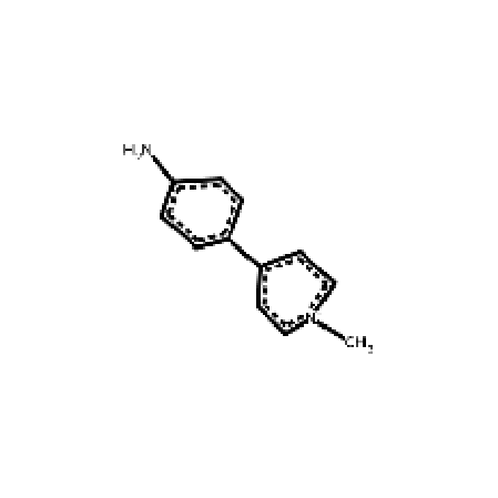 C[n+]1ccc(-c2ccc(N)cc2)cc1